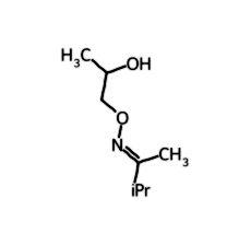 CC(=NOCC(C)O)C(C)C